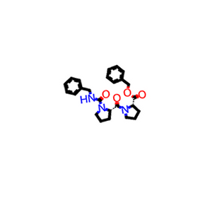 O=C(OCc1ccccc1)[C@@H]1CCCN1C(=O)[C@@H]1CCCN1C(=O)NCc1ccccc1